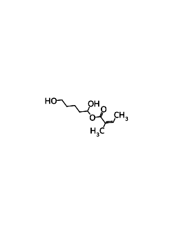 CC=C(C)C(=O)OC(O)CCCCO